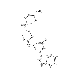 NC1CCC(N[C@H]2CC[C@H](Nc3cc(-c4c[nH]c5ncccc45)cc(Cl)n3)CC2)CC1